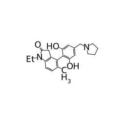 CCN1C(=O)Cc2c1ccc(C)c2-c1c(O)cc(CN2CCCC2)cc1O